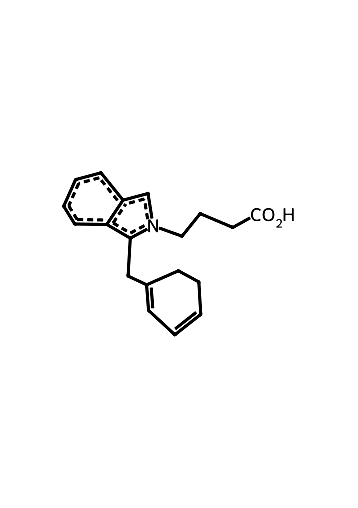 O=C(O)CCCn1cc2ccccc2c1CC1=CC=CCC1